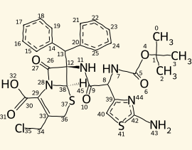 CC(C)(C)OC(=O)NC(C(=O)N[C@]1(C(c2ccccc2)c2ccccc2)C(=O)N2C(C(=O)O)=C(CCl)CS[C@@H]21)c1csc(N)n1